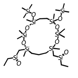 CC[Si](=O)C[Si]1(C)CCC[Si](C)(C[Si](=O)CC)O[Si](C)(C)O[Si](C)(O[Si](C)(C)C)CC[Si](C)(O[Si](C)(C)C)O[Si](C)(C)O1